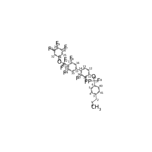 CCCc1ccc(C(F)(F)Oc2ccc(-c3cc(F)c(C(F)(F)Oc4cc(F)c(F)c(F)c4)c(F)c3)c(F)c2F)cc1